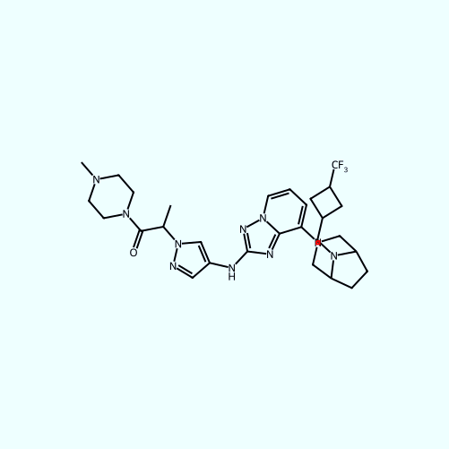 CC(C(=O)N1CCN(C)CC1)n1cc(Nc2nc3c(N4CC5CCC(C4)N5CC4CC(C(F)(F)F)C4)cccn3n2)cn1